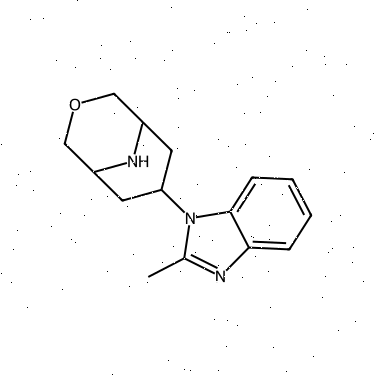 Cc1nc2ccccc2n1C1CC2COCC(C1)N2